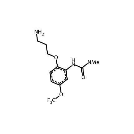 CNC(=O)Nc1cc(OC(F)(F)F)ccc1OCCCN